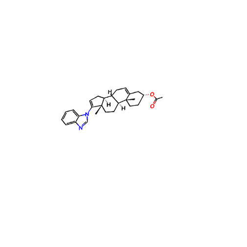 CC(=O)O[C@@H]1CC[C@@]2(C)C(=CC[C@@H]3[C@@H]2CC[C@]2(C)C(n4cnc5ccccc54)=CC[C@@H]32)C1